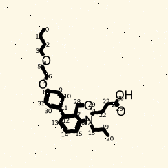 CCCCOCCOc1ccc(-c2cccc(N(CCC)CCCC(=O)O)c2C=O)cc1